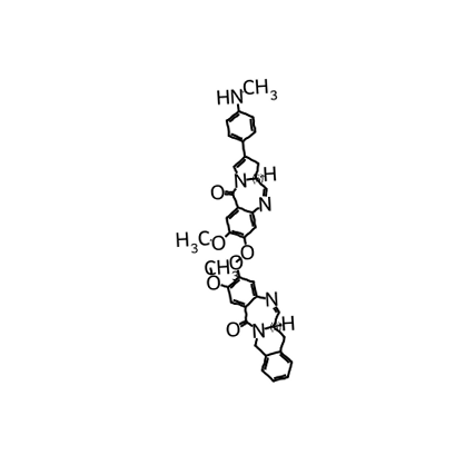 CNc1ccc(C2=CN3C(=O)c4cc(OC)c(OOc5cc6c(cc5OC)C(=O)N5Cc7ccccc7C[C@H]5C=N6)cc4N=C[C@@H]3C2)cc1